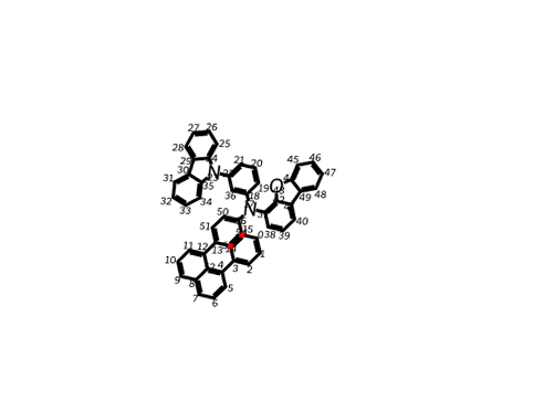 c1ccc(-c2cccc3cccc(-c4ccc(N(c5cccc(-n6c7ccccc7c7ccccc76)c5)c5cccc6c5oc5ccccc56)cc4)c23)cc1